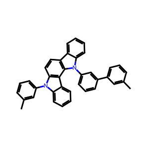 Cc1cccc(-c2cccc(-n3c4ccccc4c4ccc5c(c6ccccc6n5-c5cccc(C)c5)c43)c2)c1